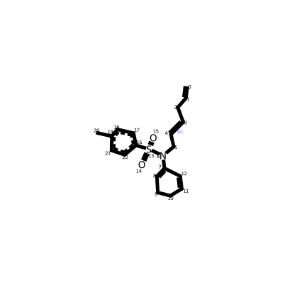 C=CC/C=C/CN(C1=CCCC=C1)S(=O)(=O)c1ccc(C)cc1